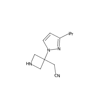 CC(C)c1ccn(C2(CC#N)CNC2)n1